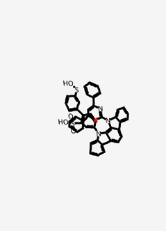 O=S(=O)(O)c1cc(-n2c3ccccc3c3ccc4c5ccccc5n(-c5nc(-c6ccccc6)cc(C6C=CC=CC6)n5)c4c32)ccc1-c1cccc(SO)c1